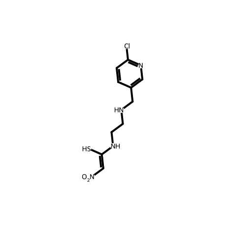 O=[N+]([O-])/C=C(\S)NCCNCc1ccc(Cl)nc1